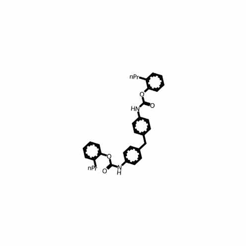 CCCc1ccccc1OC(=O)Nc1ccc(Cc2ccc(NC(=O)Oc3ccccc3CCC)cc2)cc1